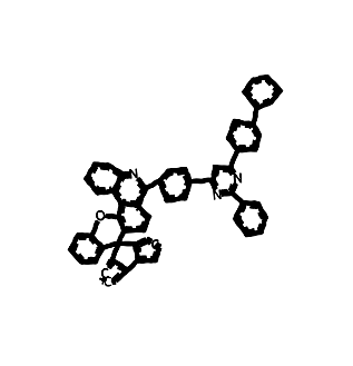 c1ccc(-c2ccc(-c3cc(-c4ccc(-c5nc6ccccc6c6c7c(ccc56)C5(c6ccccc6O7)c6ccccc6-c6ccccc65)cc4)nc(-c4ccccc4)n3)cc2)cc1